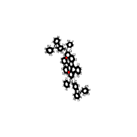 c1ccc(N(c2ccc3c4c(ccc3c2)-c2c(c3ccc(N(c5ccccc5)c5ccc6c(c5)c5ccccc5n6-c5ccccc5)cc3c3ccccc23)C4(c2ccccc2)c2ccccc2)c2ccc3c(c2)c2ccccc2n3-c2ccccc2)cc1